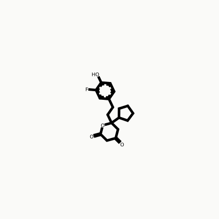 O=C1CC(=O)OC(CCc2ccc(O)c(F)c2)(C2CCCC2)C1